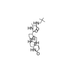 CC(NC(=O)C1CC[C@H]2[C@@H]3CCC4NC(=O)C=C[C@]4(C)[C@@H]3CC[C@]12C)C(=O)NCC(C)(C)C